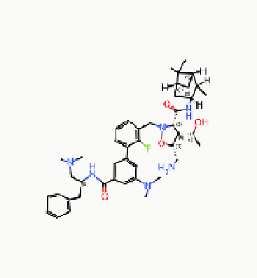 C[C@@H]1[C@@H](NC(=O)[C@@H]2[C@H]([C@H](C)O)[C@H](CN)ON2Cc2cccc(-c3cc(C(=O)N[C@@H](Cc4ccccc4)CN(C)C)cc(N(C)C)c3)c2F)C[C@H]2C[C@@H]1C2(C)C